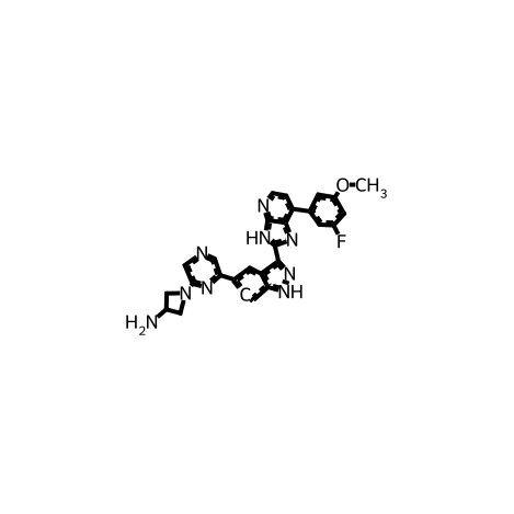 COc1cc(F)cc(-c2ccnc3[nH]c(-c4n[nH]c5ccc(-c6cncc(N7CC(N)C7)n6)cc45)nc23)c1